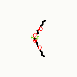 CCCCOCCOC(F)(F)OCCOCCCC